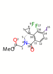 COC(=O)CN1C[C@@]2(C[C@@H]2F)c2c(ccc(I)c2F)C1=O